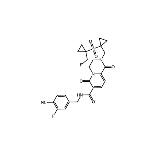 N#Cc1ccc(CNC(=O)c2ccc3n(c2=O)CCN(CC2(S(=O)(=O)C4(CF)CC4)CC2)C3=O)cc1F